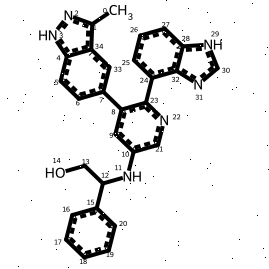 Cc1n[nH]c2ccc(-c3cc(NC(CO)c4ccccc4)cnc3-c3cccc4[nH]cnc34)cc12